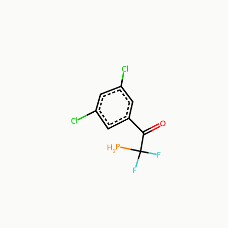 O=C(c1cc(Cl)cc(Cl)c1)C(F)(F)P